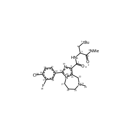 CNC(=O)C(CC(C)(C)C)NC(=O)c1nc(-c2ccc(Cl)c(F)c2)n2c1CN(C)CCC2